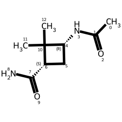 CC(=O)N[C@@H]1C[C@H](C(N)=O)C1(C)C